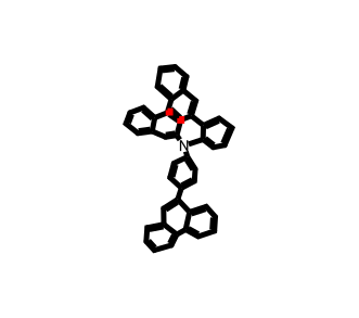 c1ccc(N(c2ccc(-c3cc4ccccc4c4ccccc34)cc2)c2ccc3ccccc3c2)c(-c2ccc3ccccc3c2)c1